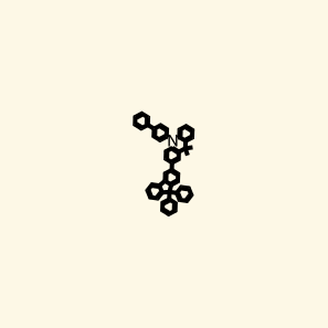 CC1(C)c2ccccc2N(c2ccc(-c3ccccc3)cc2)c2ccc(-c3ccc4c(c3)-c3ccccc3C4(c3ccccc3)c3ccccc3)cc21